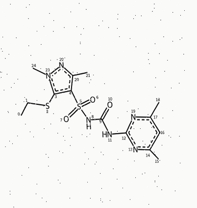 CCSc1c(S(=O)(=O)NC(=O)Nc2nc(C)cc(C)n2)c(C)nn1C